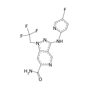 NC(=O)c1cc2c(cn1)c(Nc1ccc(F)cn1)nn2CC(F)(F)F